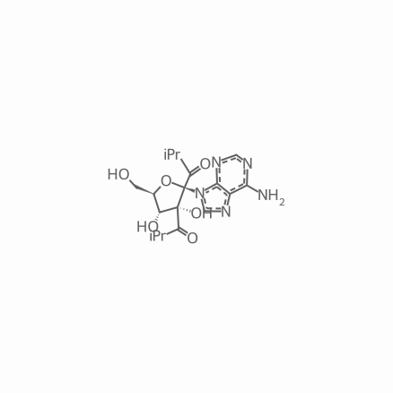 CC(C)C(=O)[C@@]1(O)[C@H](O)[C@@H](CO)O[C@@]1(C(=O)C(C)C)n1cnc2c(N)ncnc21